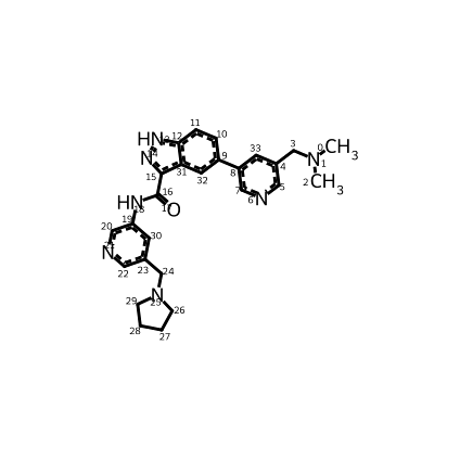 CN(C)Cc1cncc(-c2ccc3[nH]nc(C(=O)Nc4cncc(CN5CCCC5)c4)c3c2)c1